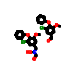 COc1cc(C=O)cc(Cl)c1Oc1ccccc1.COc1cc(CN(O)C=O)cc(Cl)c1Oc1ccccc1